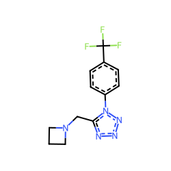 FC(F)(F)c1ccc(-n2nnnc2CN2CCC2)cc1